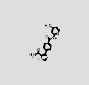 Cc1ccnc(NC(=O)c2ccc(-c3nc[nH]c3C(N)=O)cc2)c1